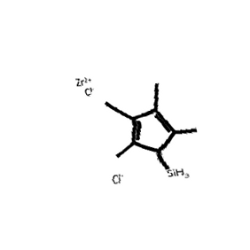 CC1=C(C)C([SiH3])C(C)=C1C.[Cl-].[Cl-].[Zr+2]